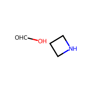 C1CNC1.O=CO